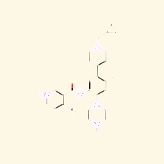 C[C@@H]1CN(c2cc(F)c(C3=CCN(CC4CC4)CC3)cc2NC(=O)C2=CNCC=C2C(F)(F)F)C[C@H](C)N1C